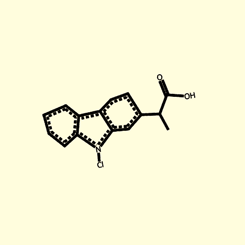 CC(C(=O)O)c1ccc2c3ccccc3n(Cl)c2c1